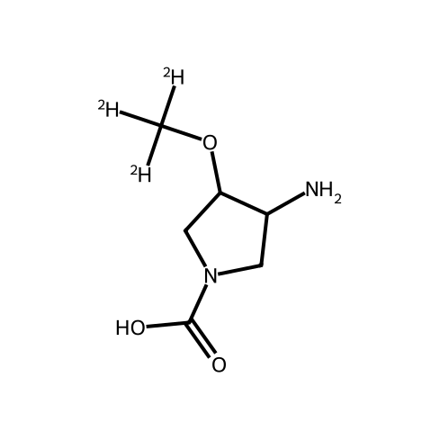 [2H]C([2H])([2H])OC1CN(C(=O)O)CC1N